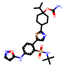 CC(C)C1(OC(N)=O)CCC(c2ncc(-c3ccc(Nc4ccno4)cc3S(=O)(=O)NC(C)(C)C)s2)CC1